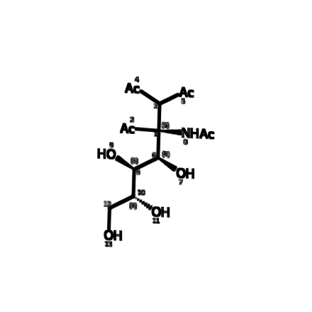 CC(=O)N[C@@](C(C)=O)(C(C(C)=O)C(C)=O)[C@@H](O)[C@H](O)[C@H](O)CO